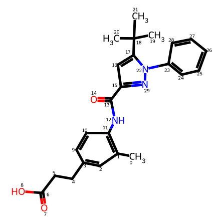 Cc1cc(CCC(=O)O)ccc1NC(=O)c1cc(C(C)(C)C)n(-c2ccccc2)n1